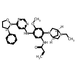 C=CC(=O)Nc1cc(Nc2cc(N3OCC[C@@H]3c3ccccc3)ncn2)c(OC)cc1N1C[C@@H]2C[C@H]1CN2CC